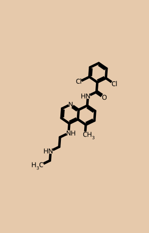 CCNCCNc1ccnc2c(NC(=O)c3c(Cl)cccc3Cl)ccc(C)c12